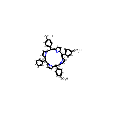 O=S(=O)(O)c1ccc(C2=C3C=CC(=N3)C(c3ccc(S(=O)(=O)O)cc3)=C3C=CC(=N3)C(c3ccc(S(=O)(=O)O)cc3)=C3C=CC(=N3)C(c3ccccc3)=C3C=CC2=N3)cc1